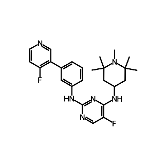 CN1C(C)(C)CC(Nc2nc(Nc3cccc(-c4cnccc4F)c3)ncc2F)CC1(C)C